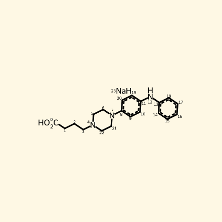 O=C(O)CCCN1CCN(c2ccc(Nc3ccccc3)cc2)CC1.[NaH]